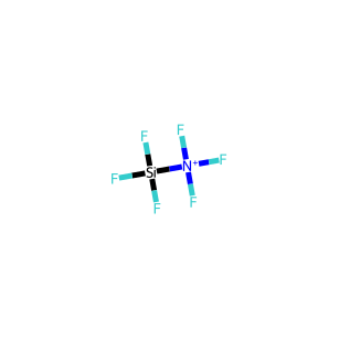 F[N+](F)(F)[Si](F)(F)F